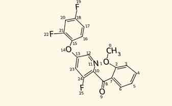 COc1ccccc1C(=O)c1ncc(Oc2ccc(F)cc2F)cc1F